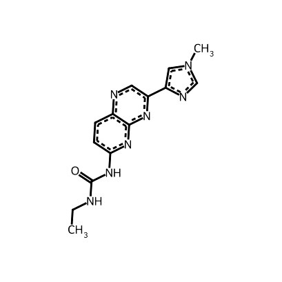 CCNC(=O)Nc1ccc2ncc(-c3cn(C)cn3)nc2n1